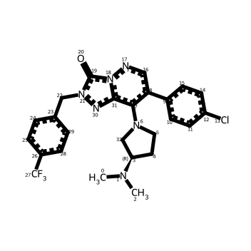 CN(C)[C@@H]1CCN(c2c(-c3ccc(Cl)cc3)cnn3c(=O)n(Cc4ccc(C(F)(F)F)cc4)nc23)C1